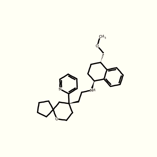 COC[C@H]1CC[C@H](NCC[C@@]2(c3ccccn3)CCOC3(CCCC3)C2)c2ccccc21